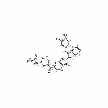 Cn1c(-c2cc3ccccc3n2Cc2ccc(Cl)c(Cl)c2)nc2cc(C(=O)N3CCCC(NC(=O)O)C3)ccc21